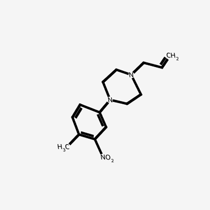 C=CCN1CCN(c2ccc(C)c([N+](=O)[O-])c2)CC1